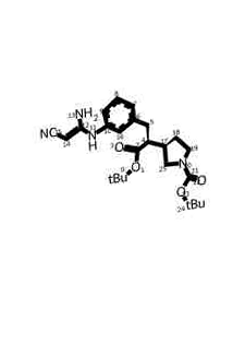 CC(C)(C)OC(=O)[C@@H](Cc1cccc(N/C(N)=C/C#N)c1)[C@H]1CCN(C(=O)OC(C)(C)C)C1